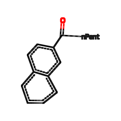 CCCCCC(=O)c1ccc2ccccc2c1